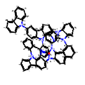 c1ccc(-n2c3ccccc3n3c4ccc5c6ccccc6n(-c6ccccc6-c6ccccc6-n6c7ccc(-n8c9ccccc9c9ccccc98)cc7c7ccc8c(nc9n(-c%10ccccc%10)c%10ccccc%10n89)c76)c5c4nc23)cc1